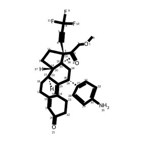 COCC(=O)[C@@]1(C#CC(F)(F)F)CC[C@H]2[C@@H]3CCC4=CC(=O)CCC4=C3[C@@H](c3ccc(N)cc3)C[C@@]21C